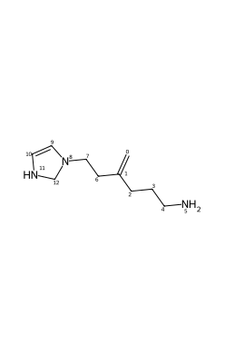 C=C(CCCN)CCN1C=CNC1